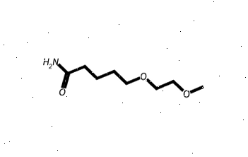 COCCOCCCCC(N)=O